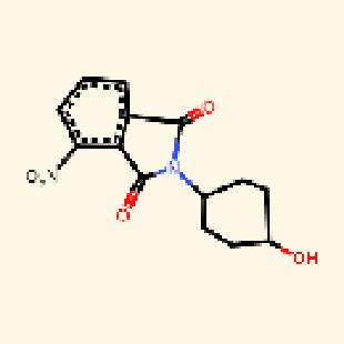 O=C1c2cccc([N+](=O)[O-])c2C(=O)N1C1CCC(O)CC1